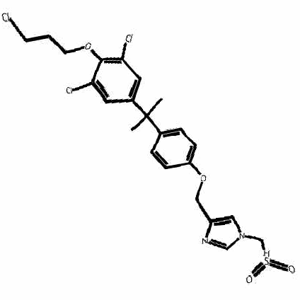 CC(C)(c1ccc(OCc2cn(C[SH](=O)=O)cn2)cc1)c1cc(Cl)c(OCCCCl)c(Cl)c1